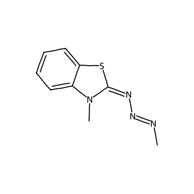 C/N=N/N=c1/sc2ccccc2n1C